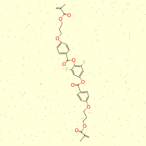 C=C(C)C(=O)OCCCOc1ccc(C(=O)Oc2cc(F)c(OC(=O)c3ccc(OCCCOC(=O)C(=C)C)cc3)c(F)c2)cc1